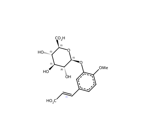 COc1ccc(/C=C/C(=O)O)cc1O[C@@H]1O[C@H](C(=O)O)[C@@H](O)[C@H](O)[C@H]1O